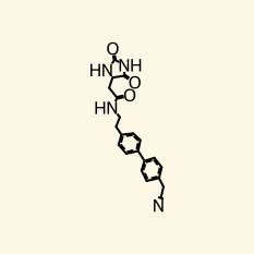 N#CCc1ccc(-c2ccc(CCNC(=O)CC3NC(=O)NC3=O)cc2)cc1